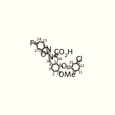 COc1ccc2c(c1OCc1cccc(Cl)c1)C[C@@H](C(=O)O)N(c1nc3ccc(F)cc3o1)C2